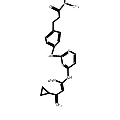 C=C(/C=C(\NC)Nc1ccnc(Nc2ccc(CCC(=O)N(C)C)cc2)n1)C1CC1